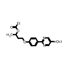 CCCCCCCCc1cnc(-c2ccc(OCCC(C)OC(=O)CC)cc2)nc1